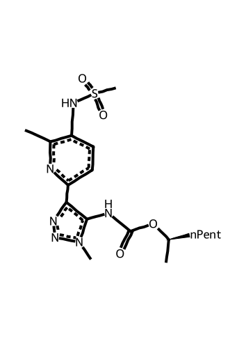 CCCCC[C@@H](C)OC(=O)Nc1c(-c2ccc(NS(C)(=O)=O)c(C)n2)nnn1C